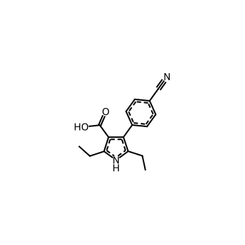 CCc1[nH]c(CC)c(-c2ccc(C#N)cc2)c1C(=O)O